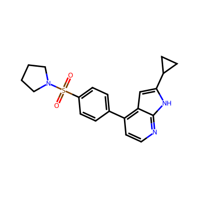 O=S(=O)(c1ccc(-c2ccnc3[nH]c(C4CC4)cc23)cc1)N1CCCC1